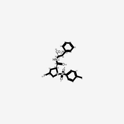 Cc1ccc(S(=O)(=O)N2CC(F)C[C@H]2C(=O)N[C@@H](Cc2ccccc2)C(=O)O)cc1